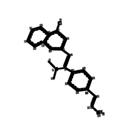 CN(C)C(=Cc1cc(Cl)c2ccccc2c1)c1ccc(/C=N/N)cc1